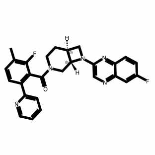 Cc1ccc(-c2ccccn2)c(C(=O)N2CC[C@H]3CN(c4cnc5cc(F)ccc5n4)[C@@H]3C2)c1F